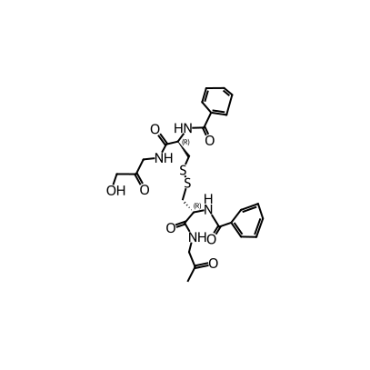 CC(=O)CNC(=O)[C@H](CSSC[C@H](NC(=O)c1ccccc1)C(=O)NCC(=O)CO)NC(=O)c1ccccc1